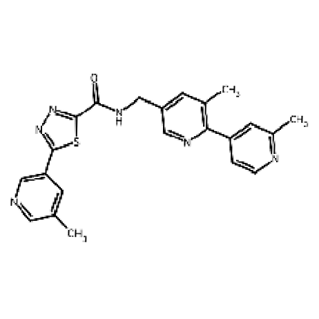 Cc1cncc(-c2nnc(C(=O)NCc3cnc(-c4ccnc(C)c4)c(C)c3)s2)c1